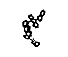 c1ccc2cc(-c3c4ccccc4c(-c4cccc5cc6c(ccc7c(-c8cc9ccccc9s8)cccc76)cc45)c4ccccc34)ccc2c1